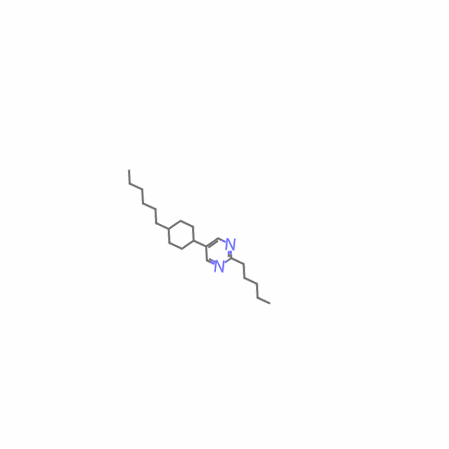 CCCCCCC1CCC(c2cnc(CCCCC)nc2)CC1